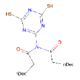 CCCCCCCCCCCC(=O)N(C(=O)CCCCCCCCCCC)c1nc(S)nc(S)n1